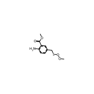 COOSCc1ccc(N)c(C(=O)OC)c1